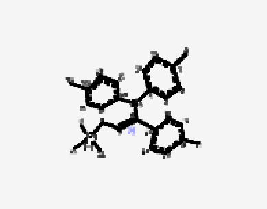 Cc1ccc(B(/C(=C\C[PH](C)(C)C)c2ccc(C)cc2)c2ccc(C)cc2)cc1